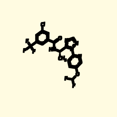 C[C@H](NC(=O)c1cc(Cl)cc(C(F)(F)F)c1)c1ncnn1-c1ccc(OC(F)F)cn1